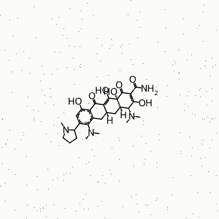 CN(C)c1c(C2CCCN2C)cc(O)c2c1C[C@H]1C[C@H]3[C@H](N(C)C)C(O)=C(C(N)=O)C(=O)[C@@]3(O)C(O)=C1C2=O